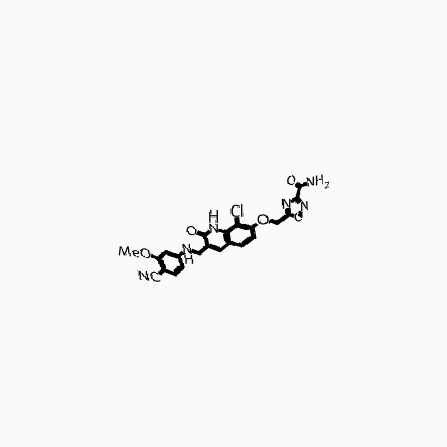 COc1cc(NCc2cc3ccc(OCc4nc(C(N)=O)no4)c(Cl)c3[nH]c2=O)ccc1C#N